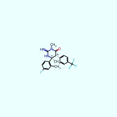 Cc1cc(F)ccc1[C@@]1(C)NC(=N)N(C)C(=O)[C@@H]1c1ccc(C(F)(F)F)cc1